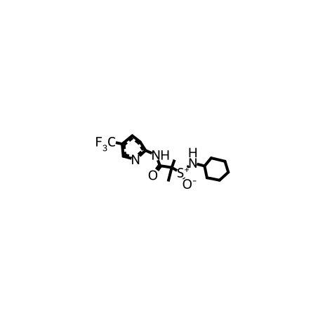 CC(C)(C(=O)Nc1ccc(C(F)(F)F)cn1)[S+]([O-])NC1CCCCC1